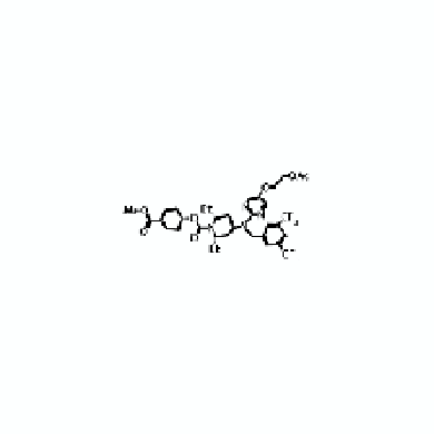 CC[C@@H]1CC(N(Cc2cc(C(F)(F)F)cc(C(F)(F)F)c2)c2ncc(OCCOC(C)=O)cn2)C[C@H](CC)N1C(=O)O[C@H]1CC[C@H](C(=O)OC)CC1